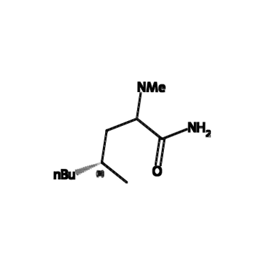 CCCC[C@@H](C)CC(NC)C(N)=O